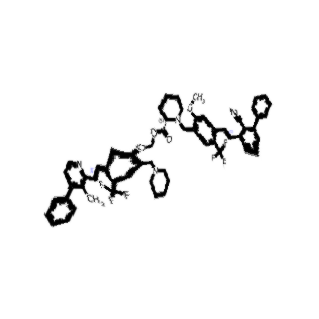 COc1cc(/C=C/c2cccc(-c3ccccc3)c2C#N)c(C(F)(F)F)cc1CN1CCCC[C@H]1C(=O)OCOc1cc(/C=C/c2nccc(-c3ccccc3)c2C)c(C(F)(F)F)cc1CN1CCCCC1